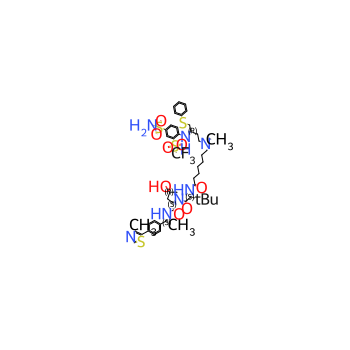 Cc1ncsc1-c1ccc([C@H](C)NC(=O)[C@@H]2C[C@@H](O)CN2C(=O)[C@@H](NC(=O)CCCCCCN(C)CC[C@H](CSc2ccccc2)Nc2ccc(S(N)(=O)=O)cc2S(=O)(=O)C(F)(F)F)C(C)(C)C)cc1